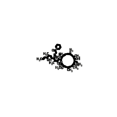 CC=CC(O)C(C)C=CC(=NOCC(=O)N1CCCCC1)C(C)C(O)C(C)C1OC(=O)C(OC)=CC(C)=CC(C)C(O)C(CC)C(O)C(C)CC(C)=CC=CC1OC